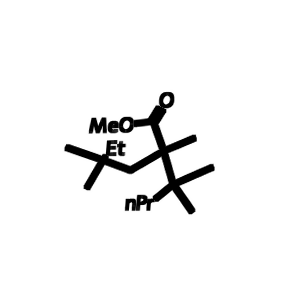 CCCC(C)(C)C(C)(CC(C)(C)CC)C(=O)OC